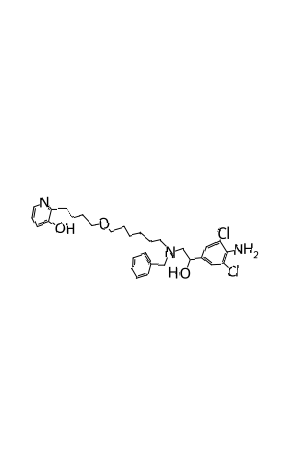 Nc1c(Cl)cc(C(O)CN(CCCCCCOCCCCc2ncccc2O)Cc2ccccc2)cc1Cl